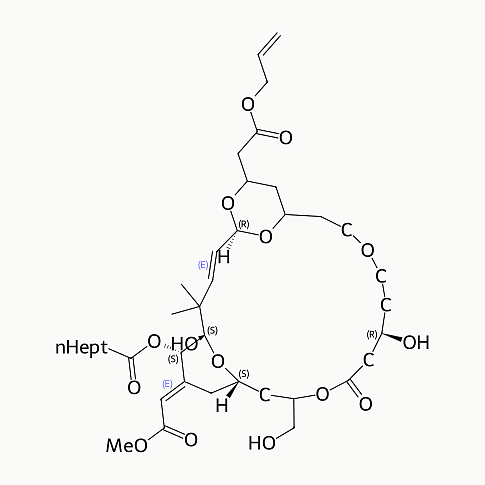 C=CCOC(=O)CC1CC2CCOCC[C@@H](O)CC(=O)OC(CO)C[C@@H]3C/C(=C\C(=O)OC)[C@H](OC(=O)CCCCCCC)[C@@](O)(O3)C(C)(C)/C=C/[C@H](O2)O1